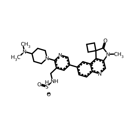 CN1C(=O)C2(CCC2)c2c1cnc1ccc(-c3cnc(N4CCC(N(C)C)CC4)c(CN[SH](=O)=O)c3)cc21